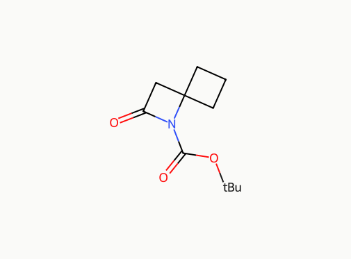 CC(C)(C)OC(=O)N1C(=O)CC12CCC2